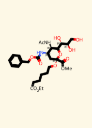 CCOC(=O)CCCCCO[C@]1(C(=O)OC)C[C@@H](NC(=O)OCc2ccccc2)[C@@H](NC(C)=O)C([C@H](O)[C@H](O)CO)O1